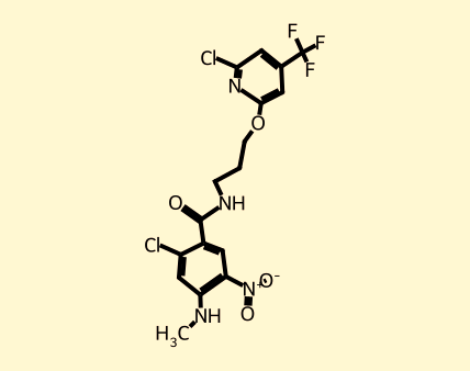 CNc1cc(Cl)c(C(=O)NCCCOc2cc(C(F)(F)F)cc(Cl)n2)cc1[N+](=O)[O-]